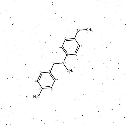 COc1ccc(N(N)Cc2ccc(C)cc2)cc1